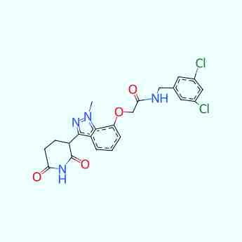 Cn1nc(C2CCC(=O)NC2=O)c2cccc(OCC(=O)NCc3cc(Cl)cc(Cl)c3)c21